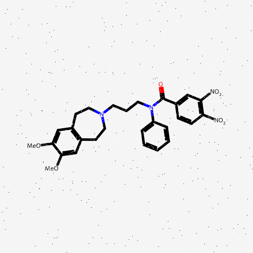 COc1cc2c(cc1OC)CCN(CCCN(C(=O)c1ccc([N+](=O)[O-])c([N+](=O)[O-])c1)c1ccccc1)CC2